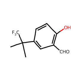 CC(C)(c1ccc(O)c(C=O)c1)C(F)(F)F